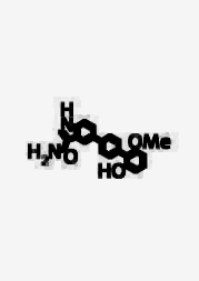 COc1cccc(O)c1-c1ccc(-c2ccc3[nH]cc(C(N)=O)c3c2)cc1